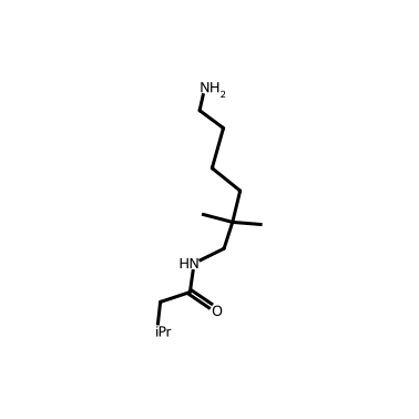 CC(C)CC(=O)NCC(C)(C)CCCCN